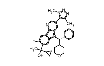 Cc1nnn(C)c1-c1cnc2c3cc(F)c([C@@](C)(O)C4CC4)cc3n([C@H](c3ccccc3)C3CCOCC3)c2c1